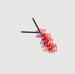 CCCCCCCCCCCCC/C=C/[C@@H](O)[C@H](CO[C@@H]1OC(CO)[C@@H](O[C@@H]2OC(CO)[C@H](O[C@@H]3OC(CO)[C@H](O)[C@H](O[C@@H]4OC(CO)[C@H](O)[C@H](O[C@H]5OC(CO)[C@H](O)[C@H](O)C5O)C4O)C3NC(C)=O)[C@H](O)C2O)[C@H](O)C1O)NC(=O)CCCCCCCCCCCCCCCCC